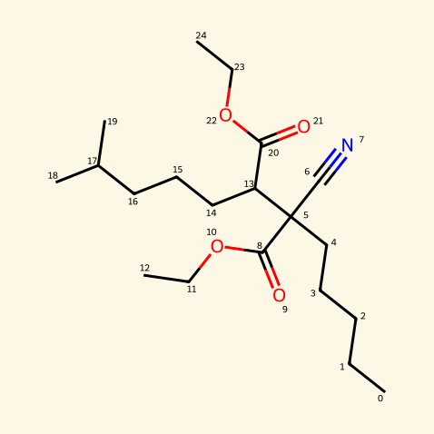 CCCCCC(C#N)(C(=O)OCC)C(CCCC(C)C)C(=O)OCC